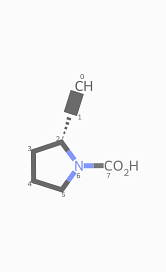 C#C[C@H]1CCCN1C(=O)O